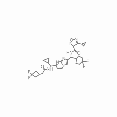 O=C(CC1CC(F)(F)C1)N[C@@H](c1ccn2cc([C@@H](NC(=O)c3nonc3C3CC3)C3CCC(F)(F)CC3)nc2n1)C1CC1